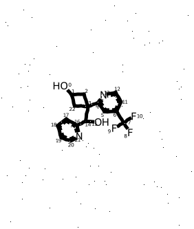 OC1CC(c2cc(C(F)(F)F)ccn2)(C(O)c2ccccn2)C1